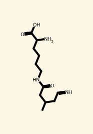 CC(CC=N)CC(=O)NCCCCC(N)C(=O)O